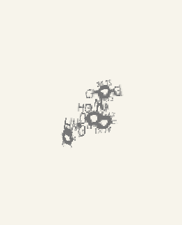 O=C(Nc1ccccc1)Oc1cc2ccccc2c(N=Nc2cc(Cl)ccc2Cl)c1O